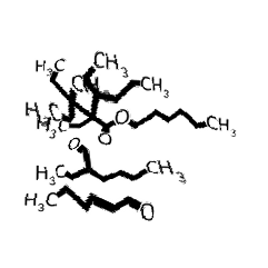 CCCC=CC=O.CCCCC(C=O)CC.CCCCCCOC(=O)C(CC)(C(CC)CCC)C(C)(CC)CC